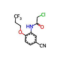 N#Cc1ccc(OCCC(F)(F)F)c(NC(=O)CCl)c1